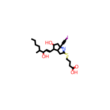 CCCCC(C)C(O)C=CC1C(O)CC2(C#CI)N=C(SCCCC(=O)O)CC12